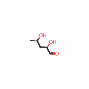 C[C@@H](O)C[C@@H](O)C=O